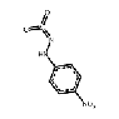 O=[N+]([O-])c1ccc(NN=S(=O)=O)cc1